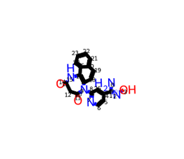 N/C(=N\O)c1ccnc(N2C(=O)CC(=O)Nc3c2ccc2ccccc32)c1